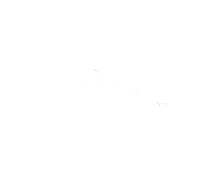 CNCCCCC1NC2CCCCCCCCCC(C2)C1=O